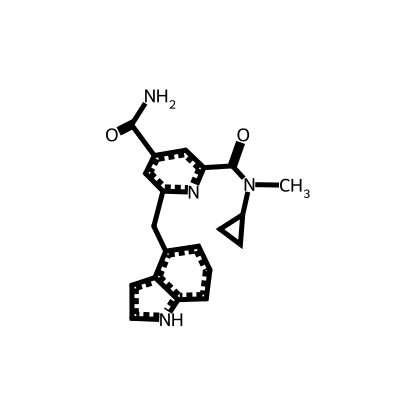 CN(C(=O)c1cc(C(N)=O)cc(Cc2cccc3[nH]ccc23)n1)C1CC1